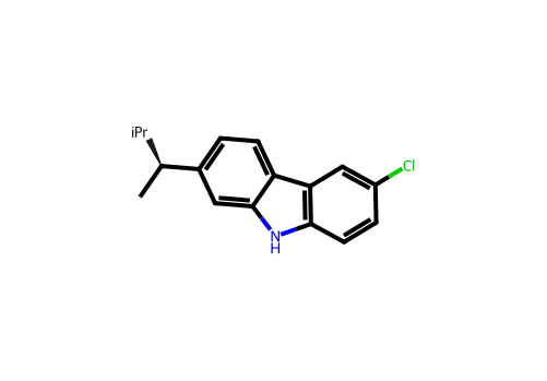 CC(C)[C@H](C)c1ccc2c(c1)[nH]c1ccc(Cl)cc12